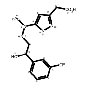 CCCN(NC[C@H](O)c1cccc(Cl)c1)c1cc(CC(=O)O)n[nH]1